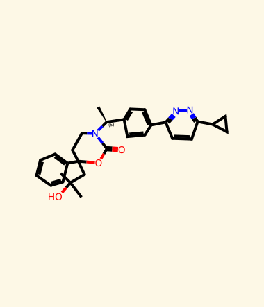 C[C@@H](c1ccc(-c2ccc(C3CC3)nn2)cc1)N1CCC(CC(C)(C)O)(c2ccccc2)OC1=O